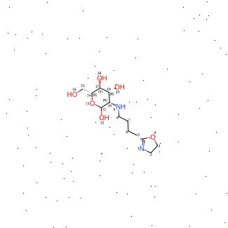 C1=NCCO1.CCCCN[C@H]1C(O)O[C@H](CO)[C@@H](O)[C@@H]1O